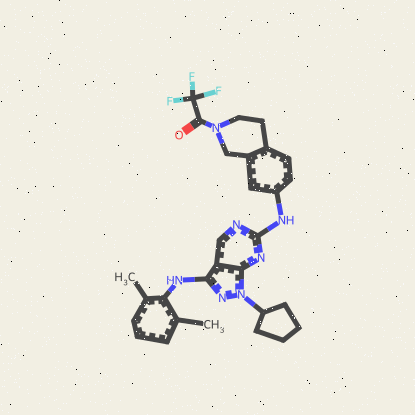 Cc1cccc(C)c1Nc1nn(C2CCCC2)c2nc(Nc3ccc4c(c3)CN(C(=O)C(F)(F)F)CC4)ncc12